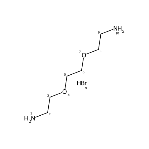 Br.NCCOCCOCCN